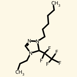 CCCCCCN1N=CN(CCC)C1C(F)(F)C(F)(F)F